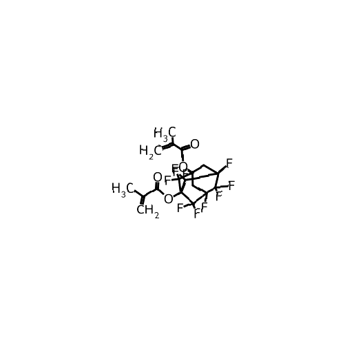 C=C(C)C(=O)OC12CC3(F)C(F)(F)C(F)(C1)C(F)(F)C(OC(=O)C(=C)C)(C2(F)F)C3(F)F